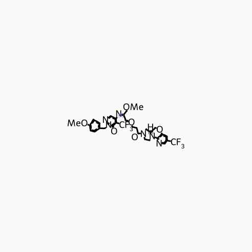 COC/C(COCCC(=O)N1CCN2c3ncc(C(F)(F)F)cc3OC[C@@H]2C1)=N/c1cnn(Cc2ccc(OC)cc2)c(=O)c1C(F)(F)F